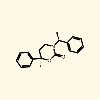 C[C@@H](c1ccccc1)N1CC[C@](C)(c2ccccc2)OC1=O